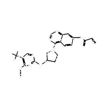 C=CC(=O)Nc1ccc2c(N3CCC(Nc4ncc(C(F)(F)F)c(NC)n4)C3)ncnc2c1